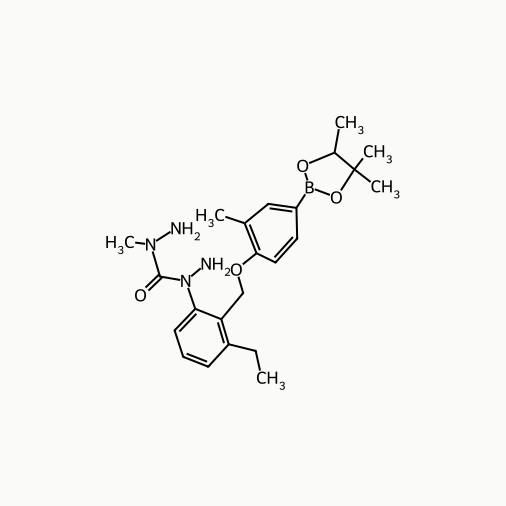 CCc1cccc(N(N)C(=O)N(C)N)c1COc1ccc(B2OC(C)C(C)(C)O2)cc1C